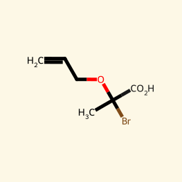 C=CCOC(C)(Br)C(=O)O